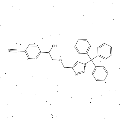 N#Cc1ccc(C(O)COCc2cn(C(c3ccccc3)(c3ccccc3)c3ccccc3)cn2)cc1